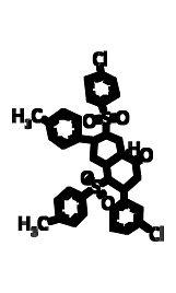 Cc1ccc(C2CC3C(S(=O)(=O)c4ccc(C)cc4)C(c4cccc(Cl)c4)CC(=O)[C@@H]3CC2S(=O)(=O)c2ccc(Cl)cc2)cc1